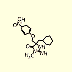 CN1C(=N)NC(COC2=CCC([N+](=O)O)C=C2)(CC2CCCCC2)C1=O